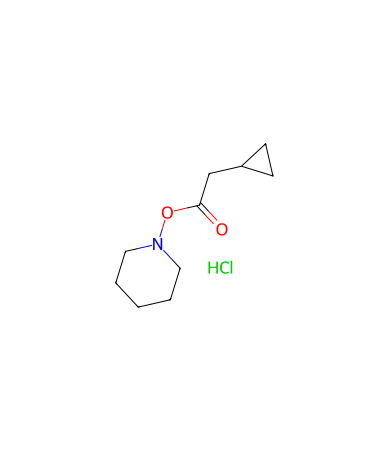 Cl.O=C(CC1CC1)ON1CCCCC1